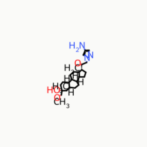 COC[C@@]1(O)CC[C@@]2(C)[C@@H](CC[C@@H]3[C@@H]2CC[C@]2(C)[C@@H](C(=O)Cn4cc(N)cn4)CC[C@@H]32)C1